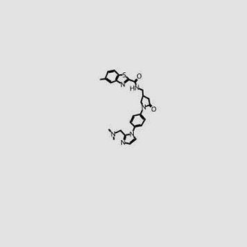 Cc1ccc2sc(C(=O)NCC3CC(=O)N(c4ccc(-n5ccnc5CN(C)C)cc4)C3)nc2c1